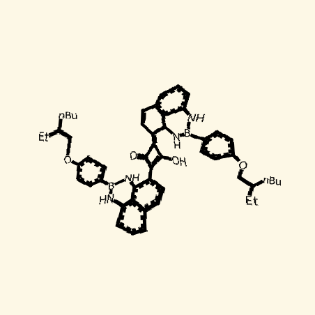 CCCCC(CC)COc1ccc(B2Nc3cccc4ccc(C5=C(O)/C(=C6/C=Cc7cccc8c7C6NB(c6ccc(OCC(CC)CCCC)cc6)N8)C5=O)c(c34)N2)cc1